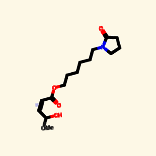 COC(O)/C=C\C(=O)OCCCCCCN1CCCC1=O